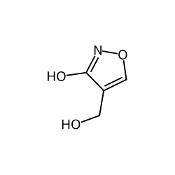 OCc1conc1O